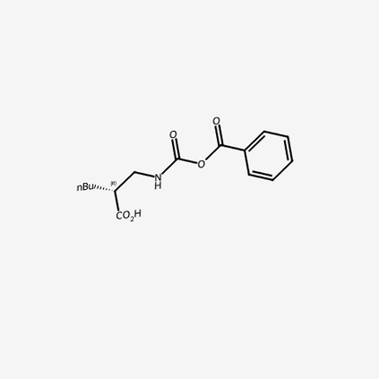 CCCC[C@H](CNC(=O)OC(=O)c1ccccc1)C(=O)O